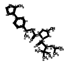 Cc1ncsc1-c1ccc([C@@H](C)NC(=O)[C@@H]2C[C@@H](O)CN2C(=O)[C@@H](NC(C)C)C(C)(C)C)cc1